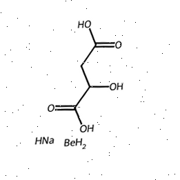 O=C(O)CC(O)C(=O)O.[BeH2].[NaH]